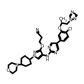 C[C@@H](Cn1cncn1)Oc1cc(-c2cnc(Nc3cn(C4CCC(N5CCOCC5)CC4)nc3OCCC#N)nc2)ccc1Cl